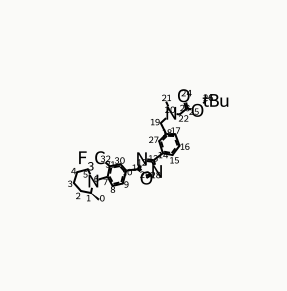 C[C@H]1CCCCN1c1ccc(-c2nc(-c3cccc(CN(C)CC(=O)OC(C)(C)C)c3)no2)cc1C(F)(F)F